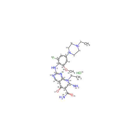 CCN1CCN(c2cc(F)c(Nc3ncc4c(=O)c(C(N)=O)c(N)n(CC)c4n3)c(OC)c2)CC1.Cl